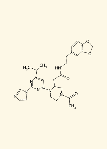 CC(=O)N1CCN(c2cc(C(C)C)nc(-n3ccnc3)n2)C(CC(=O)NCCc2ccc3c(c2)OCO3)C1